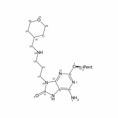 CCC[C@H](C)Oc1nc(N)c2[nH]c(=O)n(CCCNCC3CCOCC3)c2n1